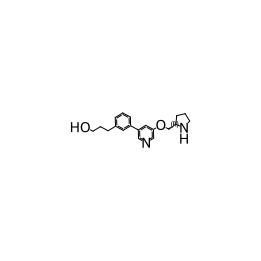 OCCCc1cccc(-c2cncc(OC[C@H]3CCCN3)c2)c1